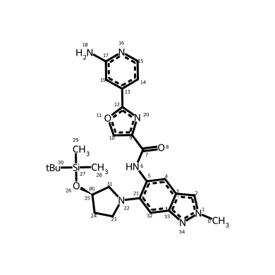 Cn1cc2cc(NC(=O)c3coc(-c4ccnc(N)c4)n3)c(N3CC[C@@H](O[Si](C)(C)C(C)(C)C)C3)cc2n1